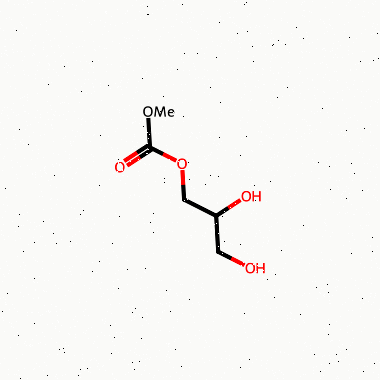 COC(=O)OCC(O)CO